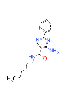 CCCCCCNC(=O)c1cnc(-c2ccccn2)nc1N